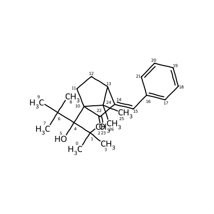 CC(C)(C)C(O)(C(C)(C)C)C12CCC(C(=Cc3ccccc3)C1=O)C2(C)C